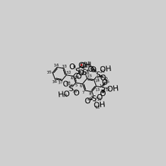 O=S(=O)(O)C(=C(c1cc(S(=O)(=O)O)c(S(=O)(=O)O)c(S(=O)(=O)O)c1S(=O)(=O)O)S(=O)(=O)O)c1ccccc1